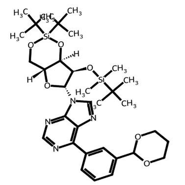 CC(C)(C)[Si](C)(C)O[C@@H]1[C@@H]2O[Si](C(C)(C)C)(C(C)(C)C)OC[C@H]2O[C@H]1n1cnc2c(-c3cccc(C4OCCCO4)c3)ncnc21